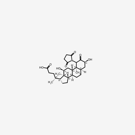 C[C@H](CCC(=O)O)[C@H]1CC[C@H]2[C@@H]3CC[C@@H]4C[C@H](O)C(=O)C(N5C(=O)CCC5=O)[C@]4(C)[C@H]3C[C@H](O)[C@]12C